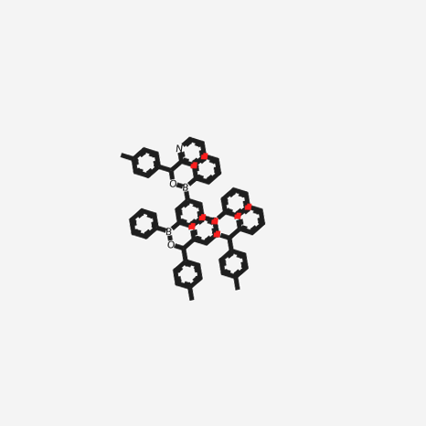 Cc1ccc(C(OB(c2ccccc2)c2cc(B(OC(c3ccc(C)cc3)c3ccccn3)c3ccccc3)cc(B(OC(c3ccc(C)cc3)c3ccccn3)c3ccccc3)c2)c2ccccn2)cc1